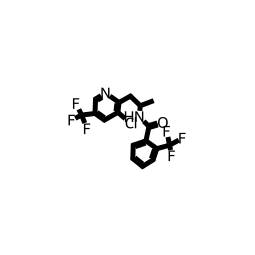 CC(Cc1ncc(C(F)(F)F)cc1Cl)NC(=O)c1ccccc1C(F)(F)F